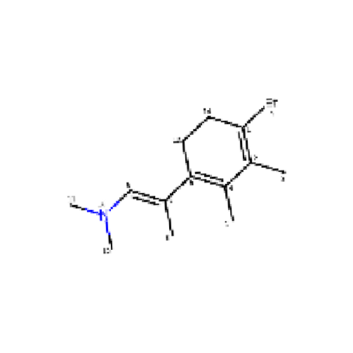 CCC1=C(C)C(C)=C(/C(C)=C/N(C)C)CC1